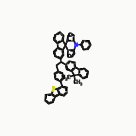 CC1(C)c2ccccc2-c2ccc(C(Cc3ccc(-c4cccc5c4sc4ccccc45)cc3)c3ccc4c(c3)C3(c5ccccc5-4)c4ccccc4N(c4ccccc4)c4ccccc43)cc21